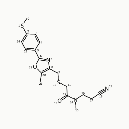 CSc1ccc(-c2nc(CSCC(=O)N(C)CCC#N)c(C)o2)cc1